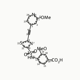 COc1cc(C#Cc2nc(S(=O)(=O)Nc3ccc(C(=O)O)cc3OC)cs2)ccn1